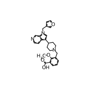 COc1c(CN2CCC(c3cn(Cc4ccoc4)c4cnccc34)CC2)cccc1C(=O)O